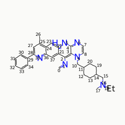 C=N/C(=C1/C(N)=NC=CN1CC1CCC(CN(C)CC)CC1)c1ccc2c(C)cc(-c3ccccc3)nc2c1